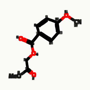 COC(=O)COC(=O)c1ccc(OC#N)cc1